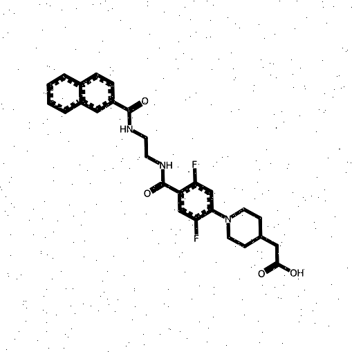 O=C(O)CC1CCN(c2cc(F)c(C(=O)NCCNC(=O)c3ccc4ccccc4c3)cc2F)CC1